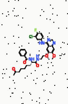 COc1cc2ncnc(Nc3ccc(F)c(Cl)c3)c2cc1OCCNC(=O)[C@H](CCCCCC(C)=O)NC(=O)c1ccccc1